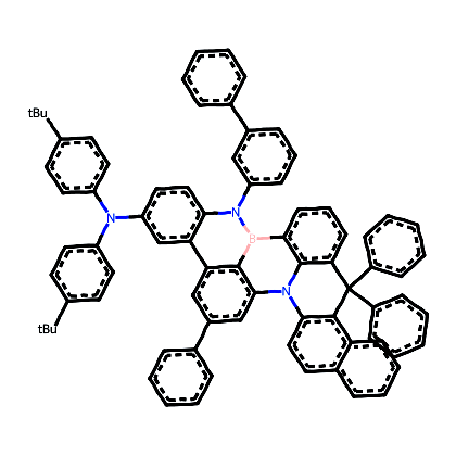 CC(C)(C)c1ccc(N(c2ccc(C(C)(C)C)cc2)c2ccc3c(c2)-c2cc(-c4ccccc4)cc4c2B(c2cccc5c2N4c2ccc4ccccc4c2C5(c2ccccc2)c2ccccc2)N3c2cccc(-c3ccccc3)c2)cc1